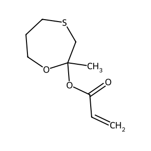 C=CC(=O)OC1(C)CSCCCO1